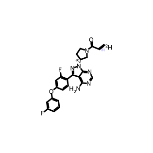 [2H]/C=C/C(=O)N1CC[C@@H](n2nc(-c3ccc(Oc4cccc(F)c4)cc3F)c3c(N)ncnc32)C1